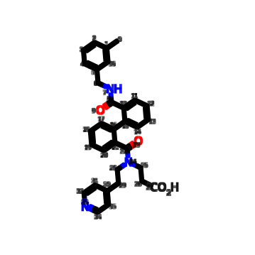 Cc1cccc(CNC(=O)c2ccccc2-c2ccccc2C(=O)N(CCC(=O)O)CCc2ccncc2)c1